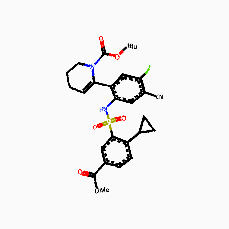 COC(=O)c1ccc(C2CC2)c(S(=O)(=O)Nc2cc(C#N)c(F)cc2C2=CCCCN2C(=O)OC(C)(C)C)c1